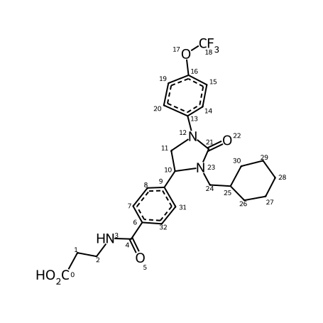 O=C(O)CCNC(=O)c1ccc(C2CN(c3ccc(OC(F)(F)F)cc3)C(=O)N2CC2CCCCC2)cc1